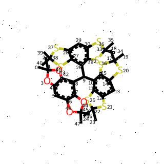 CC1(C)Oc2cc3c(c([C](c4c5c(cc6c4SC(C)(C)S6)SC(C)(C)S5)c4c5c(cc6c4SC(C)(C)S6)SC(C)(C)S5)c2O1)OC(C)(C)O3